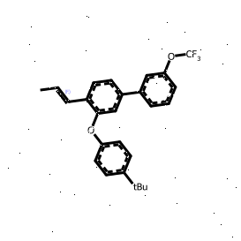 C/C=C/c1ccc(-c2cccc(OC(F)(F)F)c2)cc1Oc1ccc(C(C)(C)C)cc1